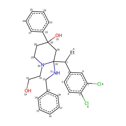 CCC(c1ccc(Cl)c(Cl)c1)C1(NCc2ccccc2)CC(O)(c2ccccc2)CCN1CCO